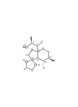 CC([C@H](C)O)C12CC[C@@H](C)[C@H](C)C1C1(CC2)OCCO1